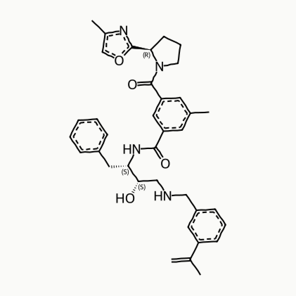 C=C(C)c1cccc(CNC[C@H](O)[C@H](Cc2ccccc2)NC(=O)c2cc(C)cc(C(=O)N3CCC[C@@H]3c3nc(C)co3)c2)c1